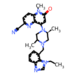 CCn1cnc2cccc(CN3C[C@H](C)N(c4cc(=O)n(C)c5ccc(C#N)nc45)CC3C)c21